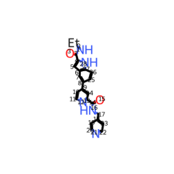 CCNC(=O)c1cc2cc(-c3ccnc(C(=O)NCc4ccncc4)c3)ccc2[nH]1